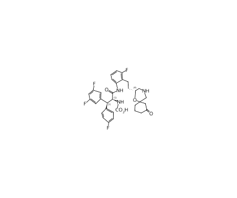 O=C1CCCC2(CNC[C@@H](CCc3c(F)cccc3NC(=O)[C@@H](NC(=O)O)[C@@H](c3ccc(F)cc3)c3cc(F)cc(F)c3)O2)C1